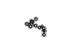 c1ccc(-c2cccc(N(c3ccc(-c4ccc5c(c4)oc4ccc6oc(-c7ccccc7)nc6c45)cc3)c3cccc4c5ccccc5n(-c5ccccc5)c34)c2)cc1